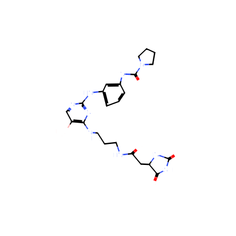 Bc1cnc(Nc2cccc(NC(=O)N3CCCC3)c2)nc1NCCCNC(=O)CC1NC(=O)NC1=O